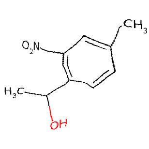 Cc1ccc(C(C)O)c([N+](=O)[O-])c1